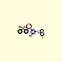 CC(C)(C)[Si](O[C@@]1(C)COCCN(c2nc(C#N)nc(OC[C@@]34CCCN3C[C@H](F)C4)n2)C1)(c1ccccc1)c1ccccc1